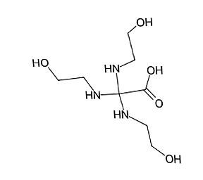 O=C(O)C(NCCO)(NCCO)NCCO